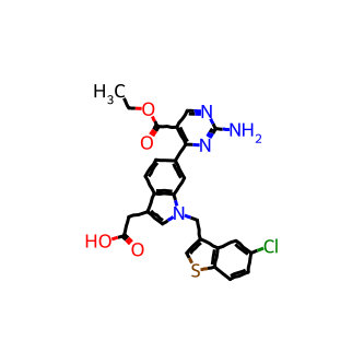 CCOC(=O)c1cnc(N)nc1-c1ccc2c(CC(=O)O)cn(Cc3csc4ccc(Cl)cc34)c2c1